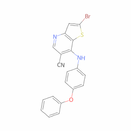 N#Cc1cnc2cc(Br)sc2c1Nc1ccc(Oc2ccccc2)cc1